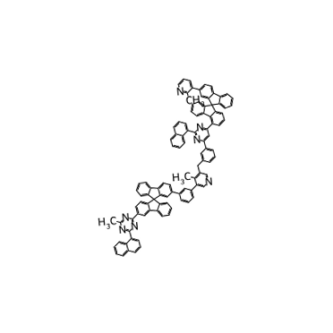 Cc1nc(-c2ccc3c(c2)-c2ccccc2C32c3ccccc3-c3ccc(-c4cccc(-c5cncc(Cc6cccc(-c7cc(-c8cccc9c8-c8ccccc8C98c9ccccc9-c9ccc(-c%10cccnc%10C)cc98)nc(-c8cccc9ccccc89)n7)c6)c5C)c4)cc32)nc(-c2cccc3ccccc23)n1